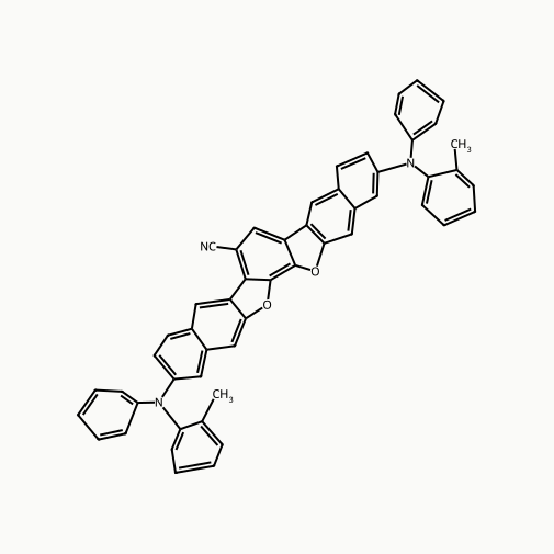 Cc1ccccc1N(c1ccccc1)c1ccc2cc3c(cc2c1)oc1c3cc(C#N)c2c3cc4ccc(N(c5ccccc5)c5ccccc5C)cc4cc3oc12